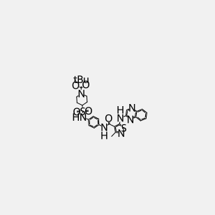 Cc1nsc(Nc2cnc3ccccc3n2)c1C(=O)Nc1ccc(NS(=O)(=O)C2CCN(C(=O)OC(C)(C)C)CC2)cc1